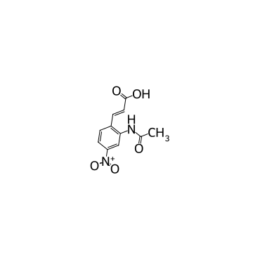 CC(=O)Nc1cc([N+](=O)[O-])ccc1/C=C/C(=O)O